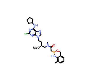 COC(CCn1cnc2c(NC3CCCC3)nc(Cl)nc21)CN(C)C(=O)CP1Nc2c(C)cccc2CO1